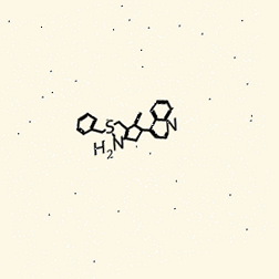 C=C1C(CS(C)(C)Cc2ccccc2)=C(N)CC1c1ccnc2ccccc12